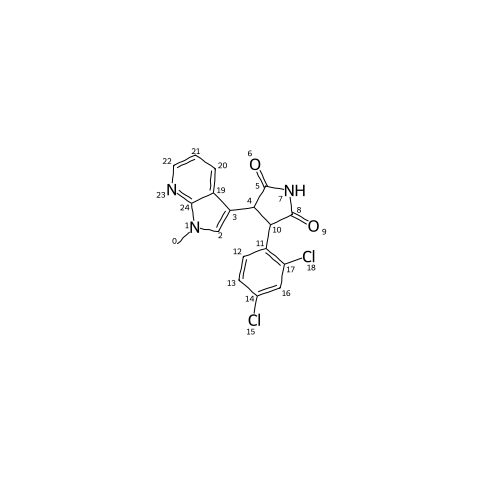 Cn1cc(C2C(=O)NC(=O)C2c2ccc(Cl)cc2Cl)c2cccnc21